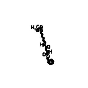 CS(=O)(=O)OCCCCCCNC(=O)CNC(=O)OCc1ccccc1